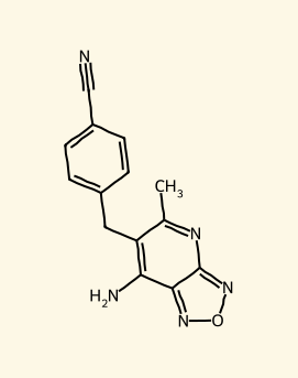 Cc1nc2nonc2c(N)c1Cc1ccc(C#N)cc1